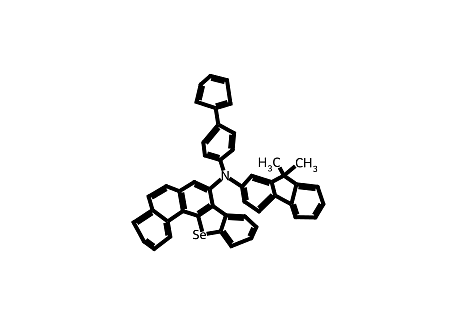 CC1(C)c2ccccc2-c2ccc(N(c3ccc(-c4ccccc4)cc3)c3cc4ccc5ccccc5c4c4[se]c5ccccc5c34)cc21